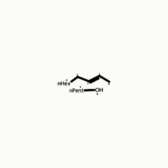 CC=CCCCCCCC.CCCCCO